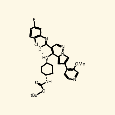 COc1cnccc1-c1cc2c(N[C@H]3CC[C@H](NC(=O)OC(C)(C)C)CC3)c(/C(N)=N/c3cc(F)ccc3Cl)cnn2c1